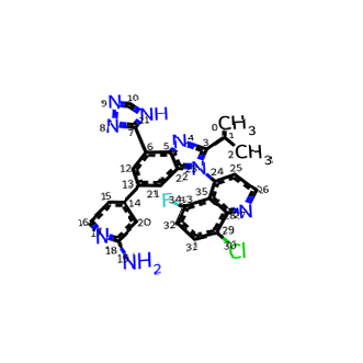 CC(C)c1nc2c(-c3nnc[nH]3)cc(-c3ccnc(N)c3)cc2n1-c1ccnc2c(Cl)ccc(F)c12